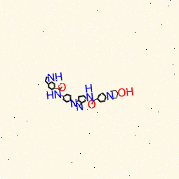 O=C(Nc1ccc2c(c1)ncn2-c1ccc(NC(=O)c2ccc3cc[nH]c3c2)cc1)c1ccc(N2CCC(O)CC2)cc1